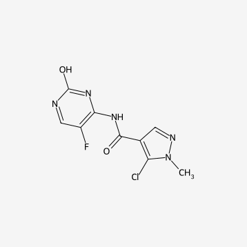 Cn1ncc(C(=O)Nc2nc(O)ncc2F)c1Cl